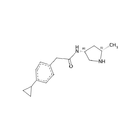 C[C@H]1C[C@@H](NC(=O)Cc2ccc(C3CC3)cc2)CN1